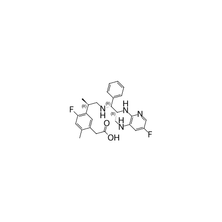 Cc1cc(F)c([C@@H](C)CN[C@H](c2ccccc2)[C@H]2CNc3cc(F)cnc3N2)cc1CC(=O)O